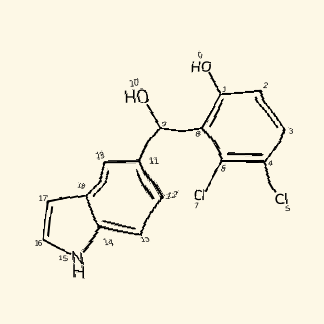 Oc1ccc(Cl)c(Cl)c1C(O)c1ccc2[nH]ccc2c1